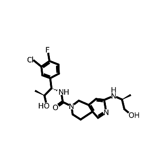 C[C@H](O)[C@@H](NC(=O)N1CCc2cnc(N[C@@H](C)CO)cc2C1)c1ccc(F)c(Cl)c1